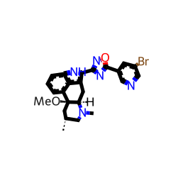 CO[C@]12C[C@@H](C)CN(C)[C@@H]1Cc1c(-c3noc(-c4cncc(Br)c4)n3)[nH]c3cccc2c13